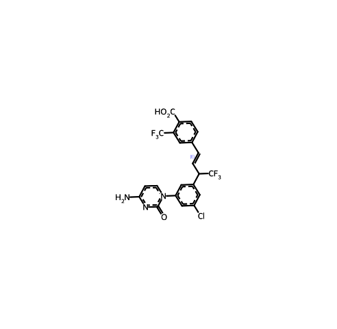 Nc1ccn(-c2cc(Cl)cc(C(/C=C/c3ccc(C(=O)O)c(C(F)(F)F)c3)C(F)(F)F)c2)c(=O)n1